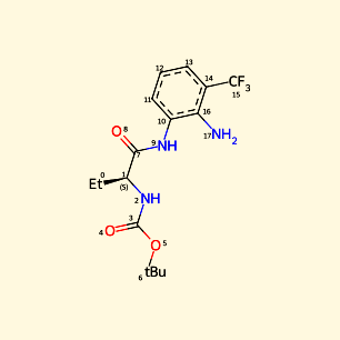 CC[C@H](NC(=O)OC(C)(C)C)C(=O)Nc1cccc(C(F)(F)F)c1N